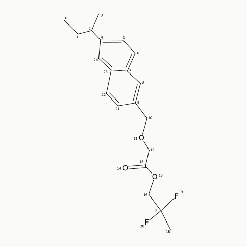 CCC(C)c1ccc2cc(COCC(=O)OCC(C)(F)F)ccc2c1